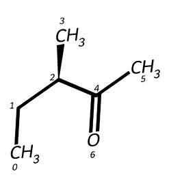 CC[C@@H](C)C(C)=O